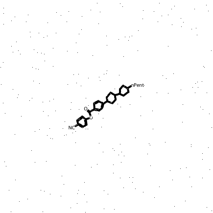 CCCCCC1CCC(C2CCC(c3ccc(C(=O)Oc4ccc(C#N)cc4)cc3)CC2)CC1